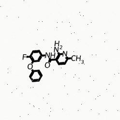 Cc1ccc(C(=O)Nc2ccc(F)c(Oc3ccccc3)c2)c(N)n1